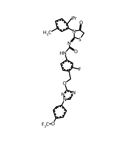 Cc1ccc(C(C)C)c(N2C(=O)CSC2=NC(=O)Nc2ccc(COc3ncn(-c4ccc(OC(F)(F)F)cc4)n3)c(F)c2)c1